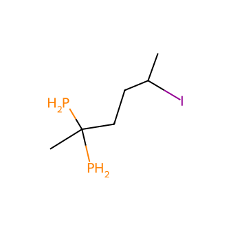 CC(I)CCC(C)(P)P